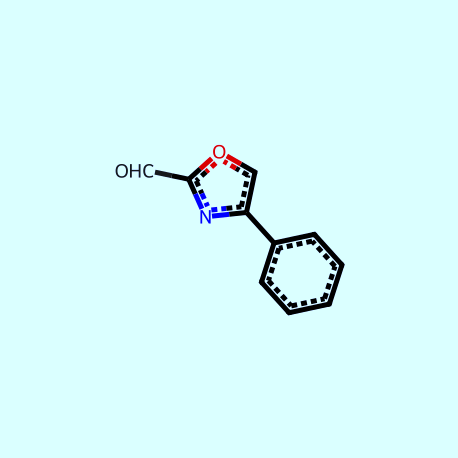 O=Cc1nc(-c2ccccc2)co1